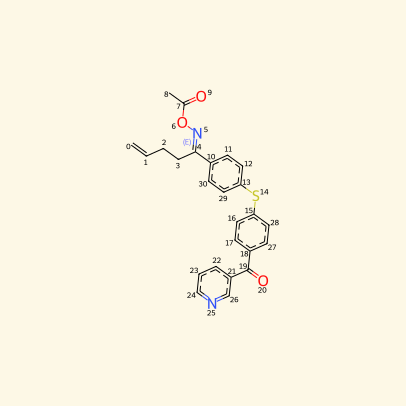 C=CCC/C(=N\OC(C)=O)c1ccc(Sc2ccc(C(=O)c3cccnc3)cc2)cc1